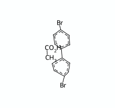 Brc1ccc(-c2ccc(Br)cc2)cc1.CC(=O)O